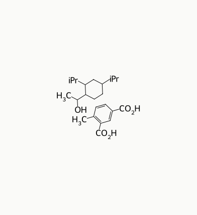 CC(C)C1CCC(C(C)O)C(C(C)C)C1.Cc1ccc(C(=O)O)cc1C(=O)O